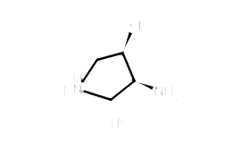 C[C@@H]1CNC[C@@H]1N.Cl.Cl